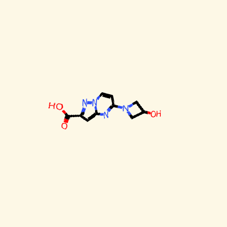 O=C(O)c1cc2nc(N3CC(O)C3)ccn2n1